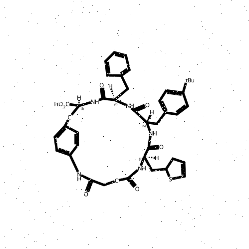 CC(C)(C)c1ccc(C[C@@H]2NC(=O)[C@@H](CC3CC=CS3)NC(=O)CCC(=O)Nc3ccc(cc3)C[C@@H](C(=O)O)NC(=O)[C@@H](Cc3ccccc3)NC2=O)cc1